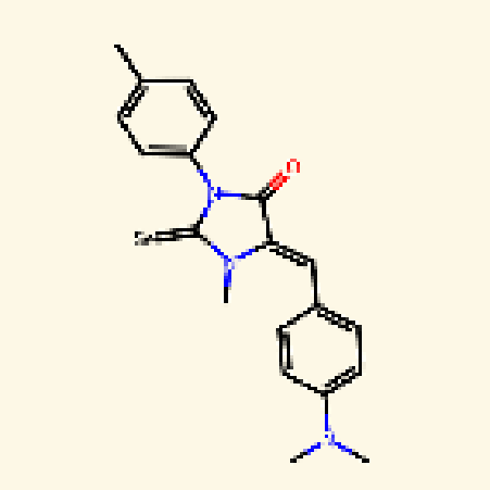 Cc1ccc(N2C(=O)C(=Cc3ccc(N(C)C)cc3)N(C)C2=[Se])cc1